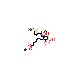 CCC/C(=C\[C@@]1(O)C[C@H](O)C(O)C1C/C=C\CCCC(=O)OC(C)C)c1ccc(C#N)s1